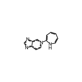 C1=CC=C(n2ccc3ncnc-3c2)NC=C1